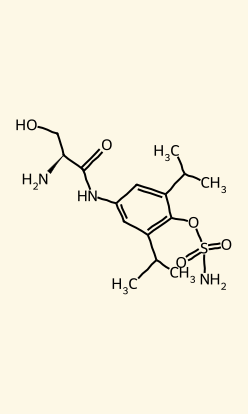 CC(C)c1cc(NC(=O)[C@@H](N)CO)cc(C(C)C)c1OS(N)(=O)=O